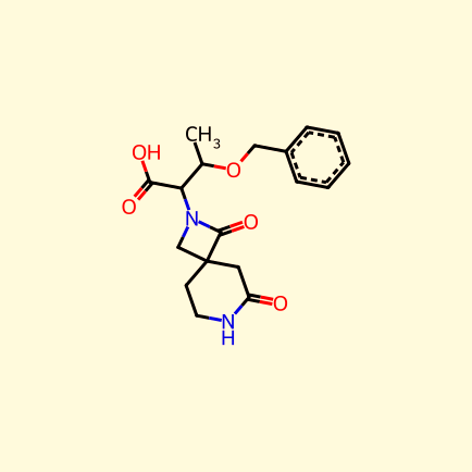 CC(OCc1ccccc1)C(C(=O)O)N1CC2(CCNC(=O)C2)C1=O